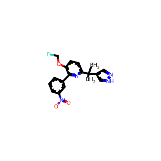 BC(B)(c1cn[nH]c1)c1ccc(OCF)c(-c2cccc([N+](=O)[O-])c2)n1